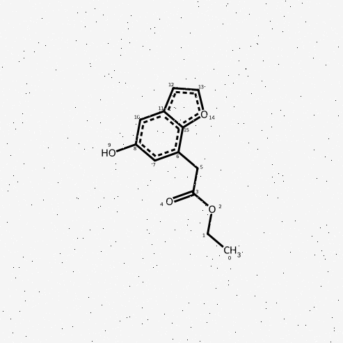 CCOC(=O)Cc1cc(O)cc2ccoc12